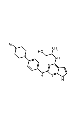 CC(=O)N1CCN(c2ccc(Nc3nc(NC(C)CO)c4cc[nH]c4n3)cc2)CC1